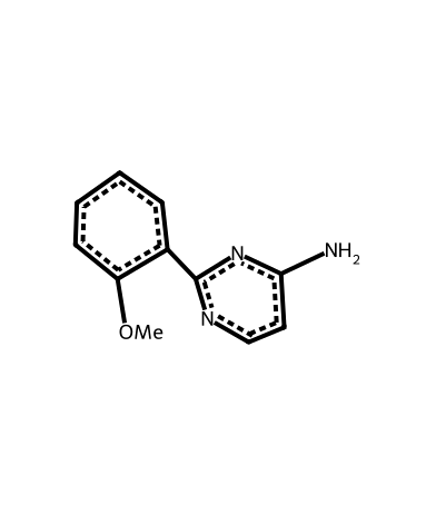 COc1ccccc1-c1nccc(N)n1